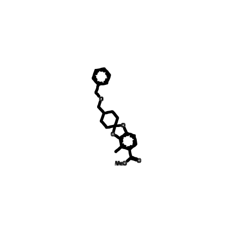 COC(=O)c1ccc2c(c1C)OC1(CCC(COCc3ccccc3)CC1)O2